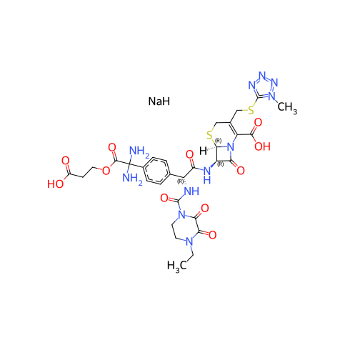 CCN1CCN(C(=O)N[C@@H](C(=O)N[C@@H]2C(=O)N3C(C(=O)O)=C(CSc4nnnn4C)CS[C@H]23)c2ccc(C(N)(N)C(=O)OCCC(=O)O)cc2)C(=O)C1=O.[NaH]